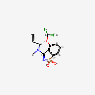 C=CCN(C)C1=NS(=O)(=O)c2cccc(OC(F)F)c21